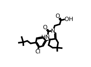 CC(C)(C)CCc1ccc([C@]23CCC(C)(C)CC2=CN(CCC(=O)O)C(=O)N3)cc1Cl